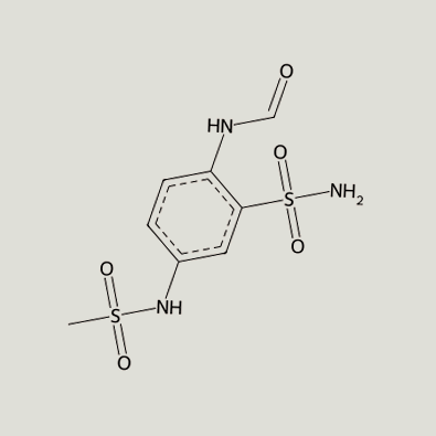 CS(=O)(=O)Nc1ccc(NC=O)c(S(N)(=O)=O)c1